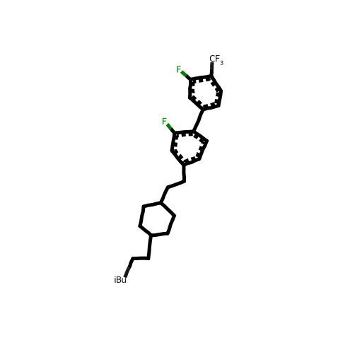 CCC(C)CCC1CCC(CCc2ccc(-c3ccc(C(F)(F)F)c(F)c3)c(F)c2)CC1